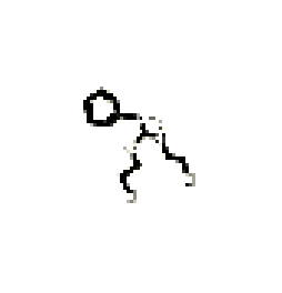 ClCCOC(OCCCl)[SiH2]c1ccccc1